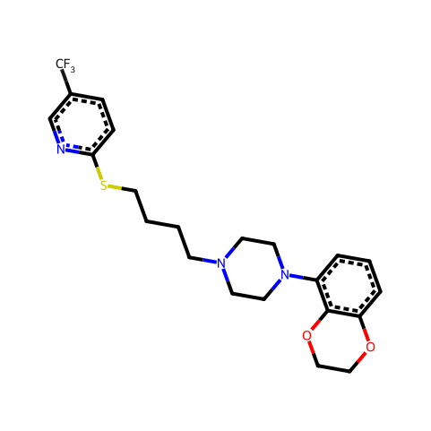 FC(F)(F)c1ccc(SCCCCN2CCN(c3cccc4c3OCCO4)CC2)nc1